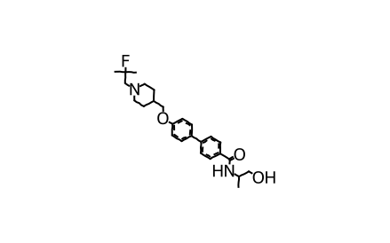 CC(CO)NC(=O)c1ccc(-c2ccc(OCC3CCN(CC(C)(C)F)CC3)cc2)cc1